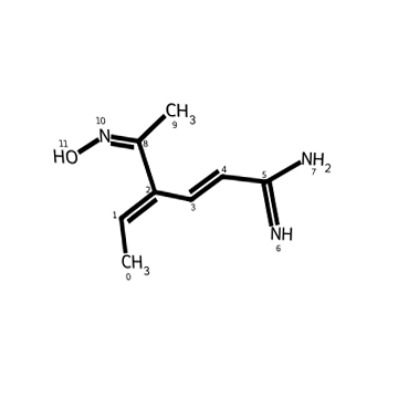 C/C=C(\C=C\C(=N)N)C(/C)=N\O